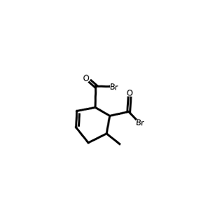 CC1CC=CC(C(=O)Br)C1C(=O)Br